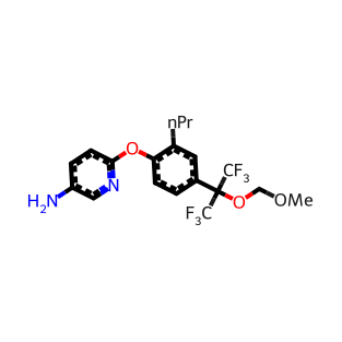 CCCc1cc(C(OCOC)(C(F)(F)F)C(F)(F)F)ccc1Oc1ccc(N)cn1